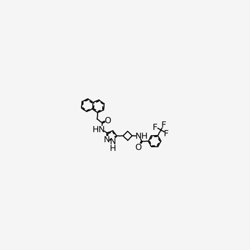 O=C(Cc1cccc2ccccc12)Nc1cc(C2CC(NC(=O)c3cccc(C(F)(F)F)c3)C2)[nH]n1